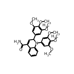 COc1cc(C2C=C(C(N)=O)c3ccccc3N2c2cc(OC)c(OC)c(OC)c2)cc(OC)c1OC